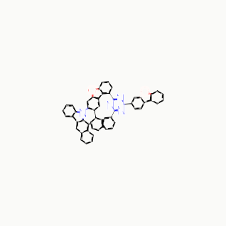 c1ccc(-c2nc(-c3ccc4c(c3)oc3ccccc34)nc(-c3cccc4oc5cc(-n6c7ccccc7c7cc8ccccc8cc76)c(-c6ccccc6)cc5c34)n2)cc1